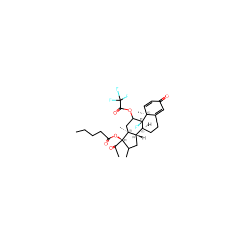 CCCCC(=O)O[C@]1(C(C)=O)C(C)C[C@H]2[C@@H]3CCC4=CC(=O)C=C[C@]4(C)[C@@]3(F)C(OC(=O)C(F)(F)F)C[C@@]21C